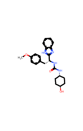 COc1ccc(C[C@@H](NC(=O)N[C@H]2CC[C@H](O)CC2)c2nc3ccccc3[nH]2)cc1